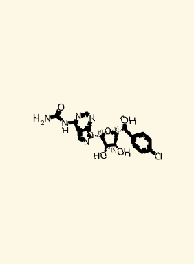 NC(=O)Nc1ncnc2c1cnn2[C@@H]1O[C@H](C(O)c2ccc(Cl)cc2)[C@@H](O)[C@H]1O